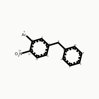 CC(=O)c1cc(Cc2ccccc2)ccc1[N+](=O)[O-]